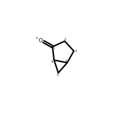 O=C1CCC2C[C]12